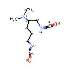 CN(C)C(CCCN=C=O)CN=C=O